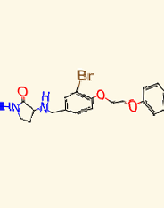 O=C1NCCC1NCc1ccc(OCCOc2ccccc2)c(Br)c1